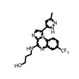 Cc1cc(-c2cnc3c(NCCCO)nc4cc(C(F)(F)F)ccc4n23)[nH]n1